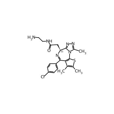 Cc1sc2c(c1C)C(c1ccc(Cl)cc1)=N[C@@H](CC(=O)NCCN)c1nnc(C)n1-2